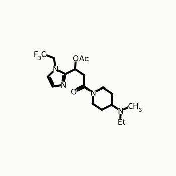 CCN(C)C1CCN(C(=O)CC(OC(C)=O)c2nccn2CC(F)(F)F)CC1